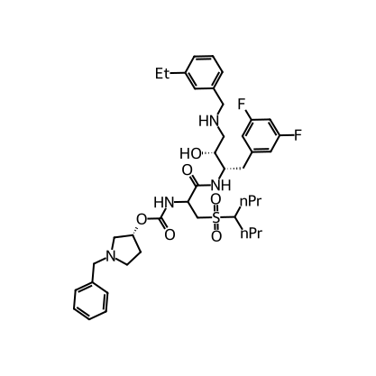 CCCC(CCC)S(=O)(=O)CC(NC(=O)O[C@@H]1CCN(Cc2ccccc2)C1)C(=O)N[C@@H](Cc1cc(F)cc(F)c1)[C@H](O)CNCc1cccc(CC)c1